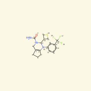 NC(=O)N1CC2=C(CCC2)N(c2cccc(C(F)(F)F)c2)C1C1CSC1